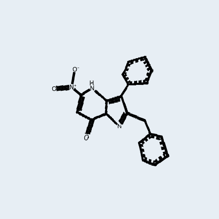 O=C1C=C([N+](=O)[O-])NC2=C(c3ccccc3)C(Cc3ccccc3)=NC12